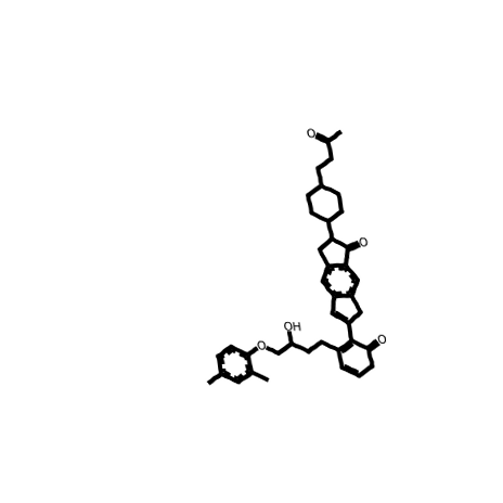 CC(=O)CCC1CCC(C2Cc3cc4c(cc3C2=O)CC(C2=C(CCC(O)COc3ccc(C)cc3C)C=CCC2=O)=C4)CC1